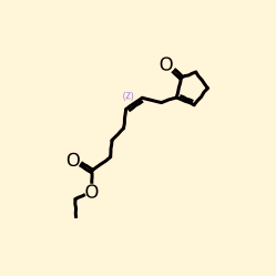 CCOC(=O)CCC/C=C\CC1=CCCC1=O